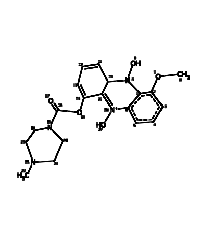 COc1cccc2c1N(O)C1C=CC=C(OC(=O)N3CCN(C)CC3)C1=[N+]2O